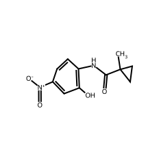 CC1(C(=O)Nc2ccc([N+](=O)[O-])cc2O)CC1